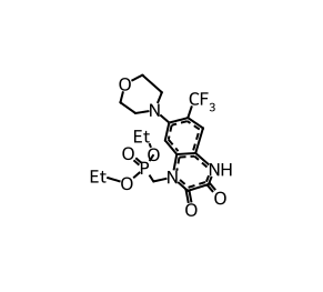 CCOP(=O)(Cn1c(=O)c(=O)[nH]c2cc(C(F)(F)F)c(N3CCOCC3)cc21)OCC